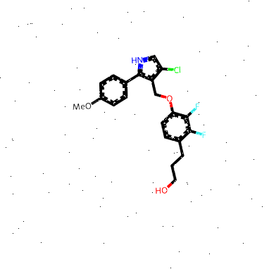 COc1ccc(-c2[nH]cc(Cl)c2COc2ccc(CCCO)c(F)c2F)cc1